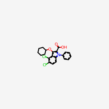 O=C(O)c1c(OC2CCCCC2)c2c(Cl)c(Cl)ccc2n1-c1ccccc1